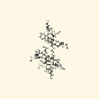 CCCCN(c1nc(CC2CCCCC2)nc(N(CCCCCCN(c2nc(N(CCCC)C3CC(C)(C)N(OCCC)C(C)(C)C3)nc(N(CCCC)C3CC(C)(C)N(OCCC)C(C)(C)C3)n2)C2CC(C)(C)N(OCCC)C(C)(C)C2)C2CCN(OCCC)CC2)n1)C1CCN(OCCC)CC1